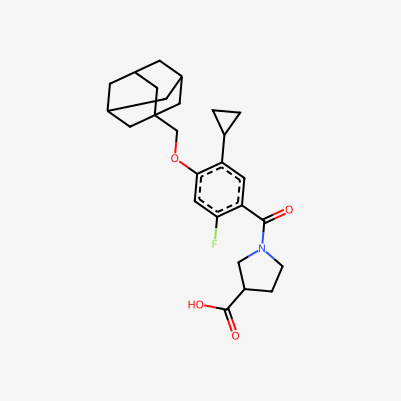 O=C(O)C1CCN(C(=O)c2cc(C3CC3)c(OCC34CC5CC(CC(C5)C3)C4)cc2F)C1